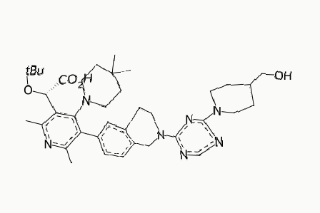 Cc1nc(C)c([C@H](OC(C)(C)C)C(=O)O)c(N2CCC(C)(C)CC2)c1-c1ccc2c(c1)CCN(c1ncnc(N3CCC(CO)CC3)n1)C2